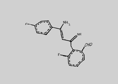 N=C(/C=C(\N)c1ccc(F)cc1)c1c(F)cccc1C=O